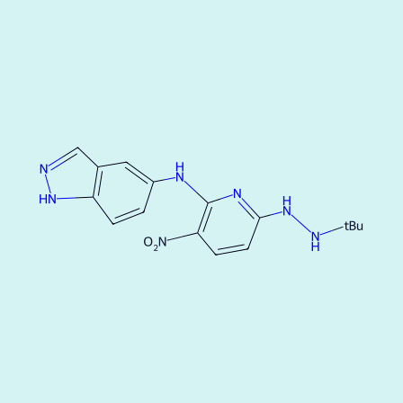 CC(C)(C)NNc1ccc([N+](=O)[O-])c(Nc2ccc3[nH]ncc3c2)n1